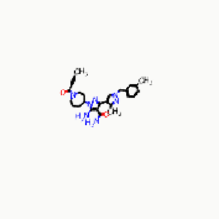 CC#CC(=O)N1CCC[C@H](n2nc(-c3cn(Cc4cccc(C)c4)nc3C)c(C(N)=O)c2N)CC1